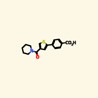 O=C(O)c1ccc(-c2cc(C(=O)N3CCCCC3)cs2)cc1